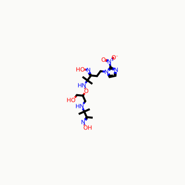 CC(=NO)C(C)(C)NCC(CO)ONC(C)(C)C(CCn1ccnc1[N+](=O)[O-])=NO